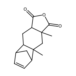 CC12CC3(C)C4C=CC(C4)C3CC1C(=O)OC2=O